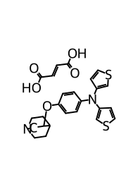 O=C(O)C=CC(=O)O.c1cc(N(c2ccc(OC3CN4CCC3CC4)cc2)c2ccsc2)cs1